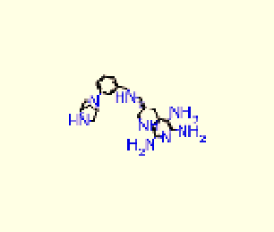 N=C/C(=C\NCc1cccc(N2CC3CC2CN3)c1)Cc1cc(N)nc(N)c1N